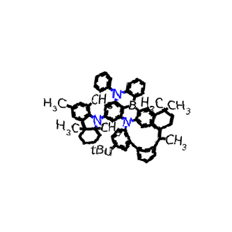 Cc1cc(C)c2c(c1)C1(C)CCCCC1(C)N2c1cc2c3c(c1)N1c4cc5c(cc4B3c3ccccc3N2c2ccccc2)C(C)(C)CCC5C(C)c2cccc(c2)-c2cc(C(C)(C)C)ccc21